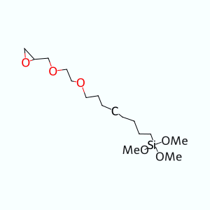 CO[Si](CCCCCCCCOCCOCC1CO1)(OC)OC